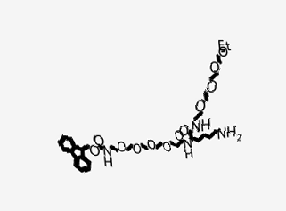 CCOCCOCCOCCOCCNC(=O)C(CCCCN)NC(=O)CCOCCOCCOCCOCCNC(=O)OCC1c2ccccc2-c2ccccc21